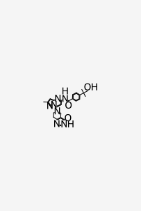 Cc1cc2nc(NC(=O)c3ccc(C(C)(C)CO)cc3)cc(N3CCc4nc[nH]c(=O)c4C3)n2n1